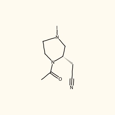 CC(=O)N1CCN(I)C[C@@H]1CC#N